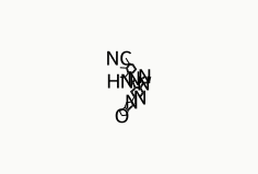 Cc1c(C#N)cccc1C(C)Nc1nc2nccn2c2cnc(N3C=C4COCC4C3)cc12